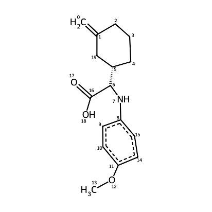 C=C1CCC[C@H](C(Nc2ccc(OC)cc2)C(=O)O)C1